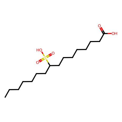 CCCCCCCC(CCCCCCCC(=O)O)S(=O)(=O)O